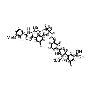 CC[C@@H](N(NC(=O)c1cccc(OC)c1C)C(=O)c1cc(C)cc(B2OC(C)(C)C(C)(CCOc3cccc(C(=O)NN(C(=O)c4cc(C)cc(B(O)O)c4)[C@H](CC)C(C)(C)C)c3C)O2)c1)C(C)(C)C